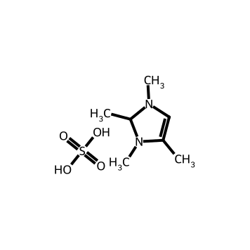 CC1=CN(C)C(C)N1C.O=S(=O)(O)O